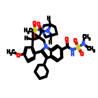 COc1ccc2c(c1)[C@@H]1C[C@]1(C(=O)N1[C@@H]3CC[C@H]1CN(S(C)(=O)=O)C3)Cn1c-2c(C2CCCCC2)c2ccc(C(=O)NS(=O)(=O)N(C)C)cc21